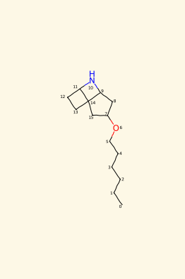 CCCCCCOC1CC2NC3CCC32C1